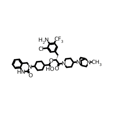 CN1CC2CC1CN2C1CCN(C(=O)[C@@H](Cc2cc(Cl)c(N)c(C(F)(F)F)c2)OC(O)C2CCC(N3Cc4ccccc4NC3=O)CC2)CC1